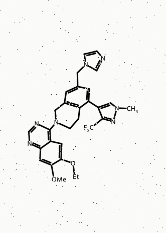 CCOc1cc2c(N3CCc4c(cc(Cn5ccnc5)cc4-c4cn(C)nc4C(F)(F)F)C3)ncnc2cc1OC